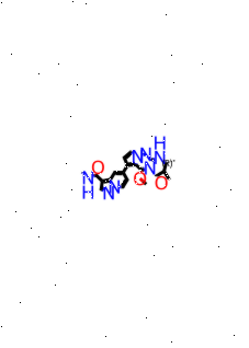 CNC(=O)c1cnn2ccc(-c3ccn4nc(N[C@H](C)C5COC5)nc(OC)c34)cc12